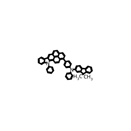 CC1(C)c2ccccc2-c2ccc(N(c3ccccc3)c3ccc(-c4ccc5ccc6cc7c8ccccc8n(-c8ccccc8)c7c7ccc4c5c67)cc3)cc21